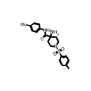 Cc1ccc(S(=O)(=O)N2CCC(N)(C(=O)Nc3ccc(C(C)(C)C)cc3)CC2)cc1